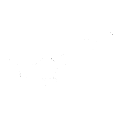 N#Cc1ccc(-c2cc3n(c2)Cc2cc(Cl)ncc2NC3=O)cc1